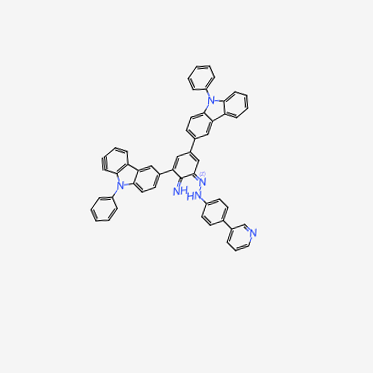 N=C1C(c2ccc3c(c2)c2ccc#cc2n3-c2ccccc2)=CC(c2ccc3c(c2)c2ccccc2n3-c2ccccc2)=C/C1=N/Nc1ccc(-c2cccnc2)cc1